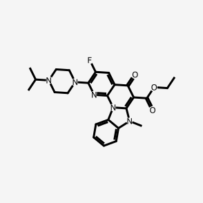 CCOC(=O)c1c(=O)c2cc(F)c(N3CCN(C(C)C)CC3)nc2n2c3ccccc3n(C)c12